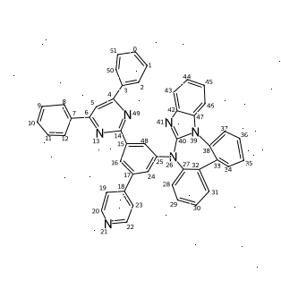 c1ccc(-c2cc(-c3ccccc3)nc(-c3cc(-c4ccncc4)cc(N4c5ccccc5-c5ccccc5-n5c4nc4ccccc45)c3)n2)cc1